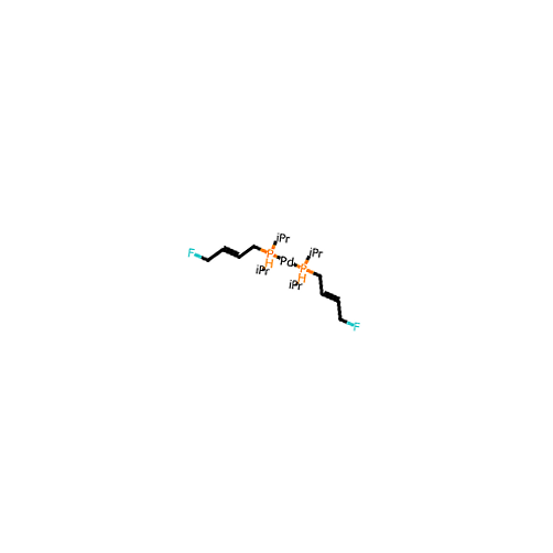 CC(C)[PH](CC=CCF)([Pd][PH](CC=CCF)(C(C)C)C(C)C)C(C)C